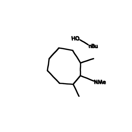 CCCCO.CNC1C(C)CCCCCC1C